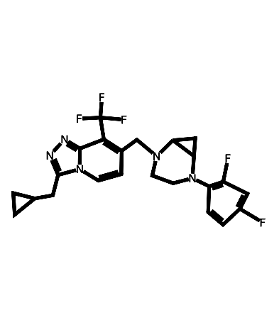 Fc1ccc(N2CCN(Cc3ccn4c(CC5CC5)nnc4c3C(F)(F)F)C3CC32)c(F)c1